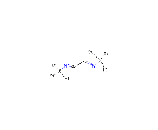 CCC(CC)(CC)N=CC=NC(CC)(CC)CC